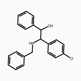 OC(c1ccccc1)C(NCc1ccccc1)c1ccc(Cl)cc1